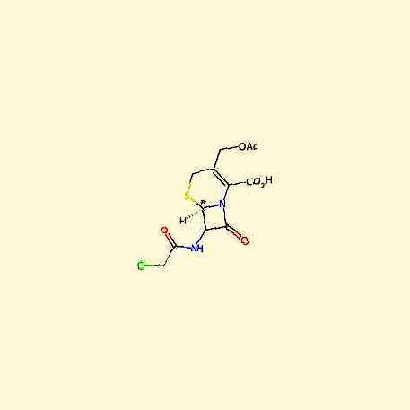 CC(=O)OCC1=C(C(=O)O)N2C(=O)C(NC(=O)CCl)[C@H]2SC1